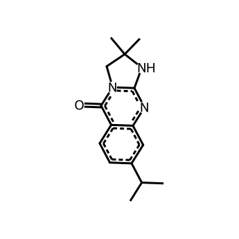 CC(C)c1ccc2c(=O)n3c(nc2c1)NC(C)(C)C3